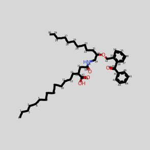 CCCCCCCCCCCCCCC(CC(=O)NCC(CCCCCCCCCC)OCc1ccccc1C(=O)c1ccccc1)C(=O)O